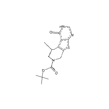 CC1CN(C(=O)OC(C)(C)C)Cc2sc3nc[nH]c(=O)c3c21